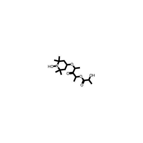 CC(O)C(=O)OC(C)C(=O)C(C)OC1CC(C)(C)N(O)C(C)(C)C1